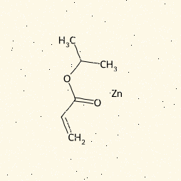 C=CC(=O)OC(C)C.[Zn]